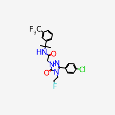 CC(C)(NC(=O)Cn1nc(-c2ccc(Cl)cc2)n(CCF)c1=O)c1cccc(C(F)(F)F)c1